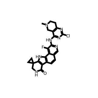 CN1CCc2nc(Cl)nc(Nc3ncc4ccc5c6c([nH]c5c4c3F)C3(CC3)CNC6=O)c2C1